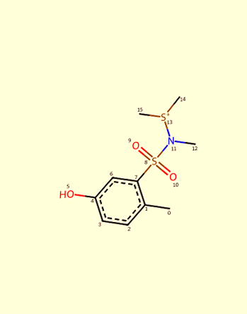 Cc1ccc(O)cc1S(=O)(=O)N(C)[S+](C)C